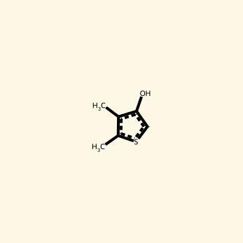 Cc1s[c]c(O)c1C